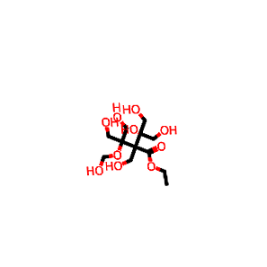 CCOC(=O)C(CO)(C(O)(CO)CO)C(CO)(CO)OCO